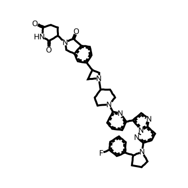 O=C1CCC(N2Cc3cc(C4CN(C5CCN(c6cccc(-c7cnc8ccc(N9CCCC9c9cccc(F)c9)nn78)n6)CC5)C4)ccc3C2=O)C(=O)N1